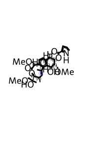 COC[C@@H]1[C@@H](O)[C@@H]2[C@H]3C=C[C@@H]4[C@@H](COC)C(=O)O[C@H](C(C)(O)COC)[C@H](C)/C=C(\C)[C@@]24O[C@H]3[C@@H]1OC(=O)c1ccc[nH]1